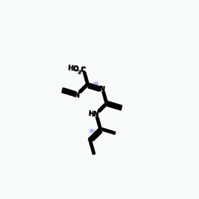 C=N/C(=N\C(=C)N/C(C)=C/C)C(=O)O